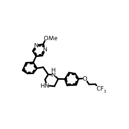 COc1ncc(-c2ccccc2CC2CNCC(c3ccc(OCCC(F)(F)F)cc3)N2)cn1